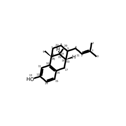 CC(C)=CCC1CC[C@@]2(C)c3cc(O)ccc3C[C@@H]1[C@@H]2C